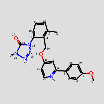 COc1ccc(-c2cc(OCc3c(C)cccc3-n3nnn(C)c3=O)ccn2)cc1